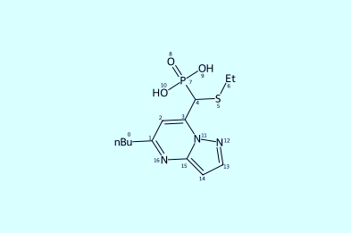 CCCCc1cc(C(SCC)P(=O)(O)O)n2nccc2n1